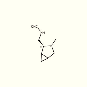 CN1CC2CC2[C@H]1CNC=O